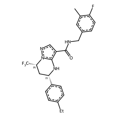 CCc1ccc([C@@H]2C[C@H](C(F)(F)F)n3ncc(C(=O)NCc4ccc(F)c(C)c4)c3N2)cc1